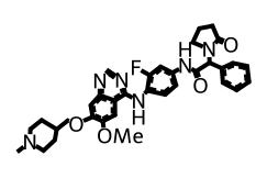 COc1cc2c(Nc3ccc(NC(=O)C(c4ccccc4)N4CCCC4=O)cc3F)ncnc2cc1OCC1CCN(C)CC1